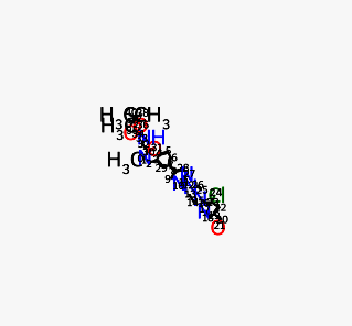 CN(Cc1cccc(-c2cnc(N3CCN(c4ncc(C=O)cc4Cl)CC3)nc2)c1)C(=O)CNC(=O)OC(C)(C)C